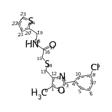 Cc1oc(-c2cccc(Cl)c2)nc1CSCC(=O)NCc1cccs1